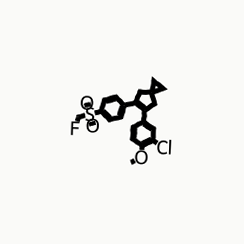 COc1ccc(C2=C(c3ccc(S(=O)(=O)CF)cc3)CC3(CC3)C2)cc1Cl